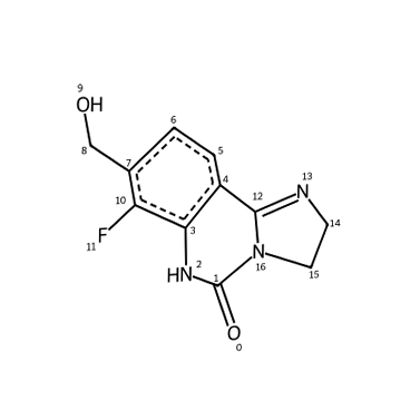 O=C1Nc2c(ccc(CO)c2F)C2=NCCN12